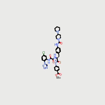 CC(C)(C)OC(=O)c1ccc(NC(=O)[C@H](Cc2ccc(NC(=O)N3CCC(N4CCCCC4)CC3)cc2)NC(=O)C(=O)Nc2cc(Cl)ccc2-n2cnnn2)cc1